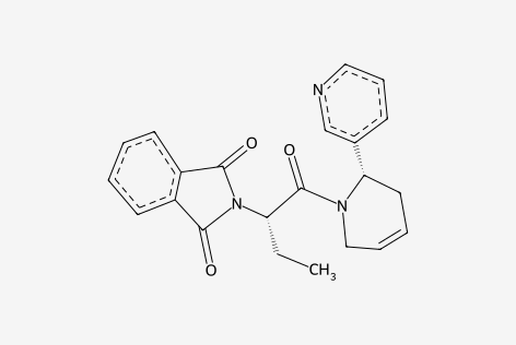 CC[C@@H](C(=O)N1CC=CC[C@H]1c1cccnc1)N1C(=O)c2ccccc2C1=O